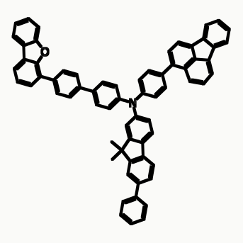 CC1(C)c2cc(-c3ccccc3)ccc2-c2ccc(N(c3ccc(-c4ccc(-c5cccc6c5oc5ccccc56)cc4)cc3)c3ccc(-c4ccc5c6c(cccc46)-c4ccccc4-5)cc3)cc21